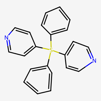 c1ccc(S(c2ccccc2)(c2ccncc2)c2ccncc2)cc1